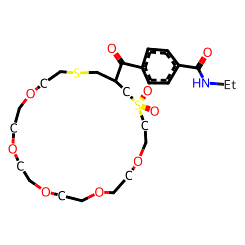 CCNC(=O)c1ccc(C(=O)C2CSCCOCCOCCOCCOCCOCCS(=O)(=O)C2)cc1